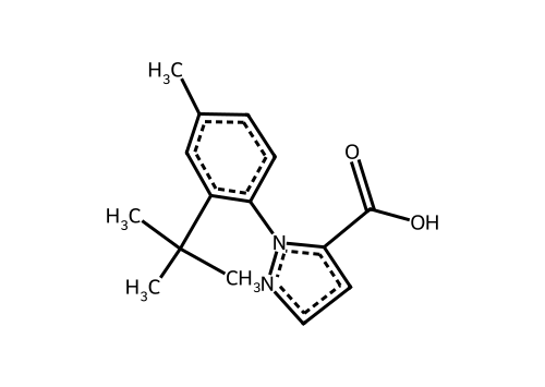 Cc1ccc(-n2nccc2C(=O)O)c(C(C)(C)C)c1